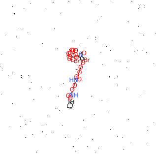 COC(=O)[C@H]1O[C@@H](Oc2cn(C(C)=O)c3cc(Br)c(OCCOCCOCCOC(=O)NCCOCCOCCNC(=O)OC[C@@H]4C5CCC#CCC[C@@H]54)c(Br)c23)[C@H](OC(C)=O)[C@@H](OC(C)=O)[C@@H]1OC(C)=O